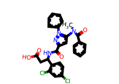 CN(C(=O)c1ccccc1)c1cc(C(=O)NC(CC(=O)O)c2ccc(Cl)cc2Cl)nn1-c1ccccc1